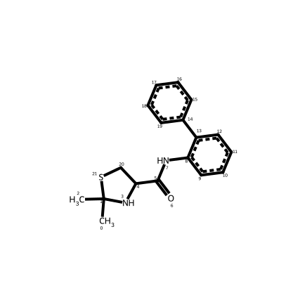 CC1(C)NC(C(=O)Nc2ccccc2-c2ccccc2)CS1